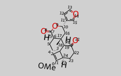 COC1=C[C@@]23CC[C@H]4C(=O)O[C@H](c5ccoc5)C[C@]4(C)[C@H]2C(=O)CC[C@@H]13